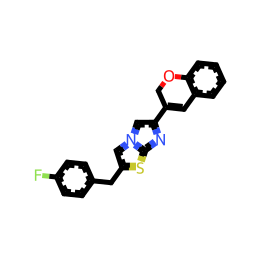 Fc1ccc(Cc2cn3cc(C4=Cc5ccccc5OC4)nc3s2)cc1